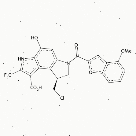 COc1cccc2oc(C(=O)N3C[C@@H](CCl)c4c3cc(O)c3[nH]c(C(F)(F)F)c(C(=O)O)c43)cc12